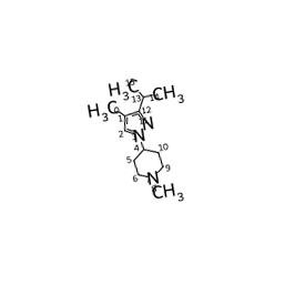 Cc1cn(C2CCN(C)CC2)nc1C(C)C